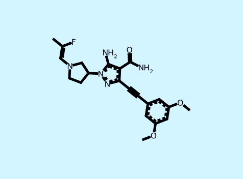 COc1cc(C#Cc2nn(C3CCN(C=C(C)F)C3)c(N)c2C(N)=O)cc(OC)c1